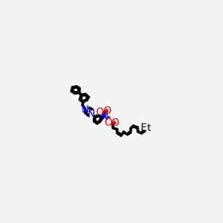 CC/C=C\C/C=C\C/C=C\C/C=C\CCC(=O)OCn1c(=O)oc2c(N3CCN(Cc4cccc(-c5ccccc5)c4)CC3)cccc21